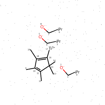 CC(C)C[O-].CC(C)C[O-].CC(C)C[O-].CC1=C(C)C(C)(C)[C]([Ti+3])=C1C